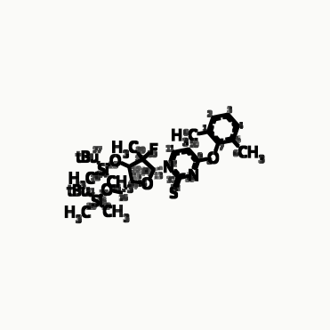 Cc1cccc(C)c1Oc1ccn([C@@H]2O[C@H](CO[Si](C)(C)C(C)(C)C)C(O[Si](C)(C)C(C)(C)C)C2(C)F)c(=S)n1